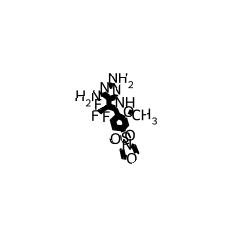 COc1cc(S(=O)(=O)N2CCOCC2)ccc1-c1[nH]c2nc(N)nc(N)c2c1C(F)(F)F